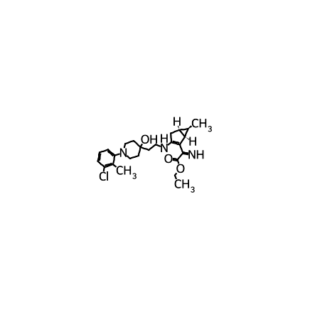 CCOC(=O)C(=N)C1=C(NCCC2(O)CCN(c3cccc(Cl)c3C)CC2)C[C@H]2[C@@H](C)[C@@H]12